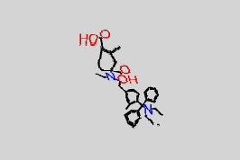 [CH2]CN(CC)C(c1ccccc1)(c1ccccc1)c1ccc(CCN(CC)C2(C(=O)O)CCC(C(=O)O)C(C)C2)cc1C